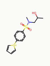 CC(O)CN(C)S(=O)(=O)c1ccc([SH]2C=CC=C2)cc1